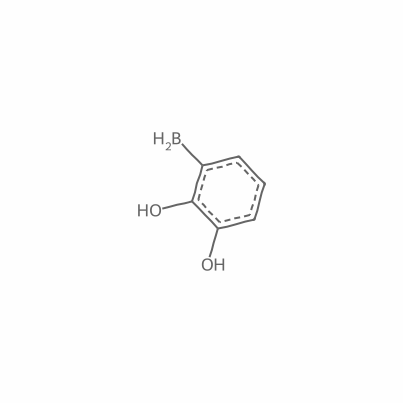 Bc1cccc(O)c1O